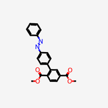 COC(=O)c1ccc(C(=O)OC)c(-c2ccc(/N=N/c3ccccc3)cc2)c1